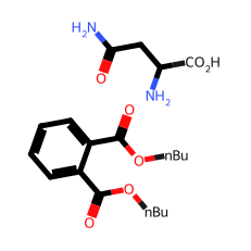 CCCCOC(=O)c1ccccc1C(=O)OCCCC.NC(=O)CC(N)C(=O)O